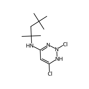 CC(C)(C)CC(C)(C)NC1=NN(Cl)NC(Cl)=C1